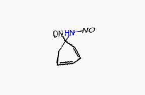 O=NNC1(N=O)C=CC=CC1